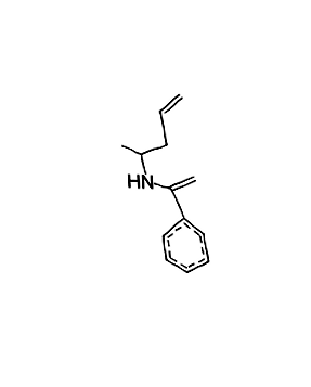 C=CCC(C)NC(=C)c1ccccc1